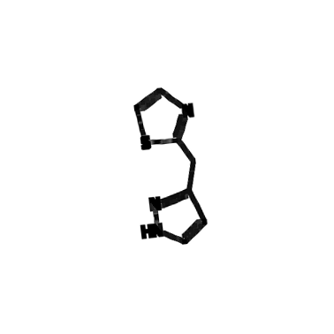 c1csc(Cc2cc[nH]n2)n1